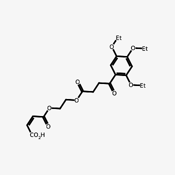 CCOc1cc(OCC)c(C(=O)CCC(=O)OCCOC(=O)/C=C\C(=O)O)cc1OCC